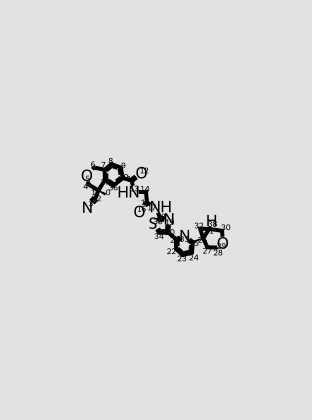 C[C@@]1(C#N)COCc2ccc(C(=O)NCC(=O)Nc3nc(-c4cccc([C@]56CCOC[C@H]5C6)n4)cs3)cc21